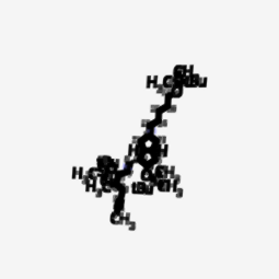 CC#CCC(C)C(/C=C/[C@@H]1[C@H]2C/C(=C/CCCCO[Si](C)(C)C(C)(C)C)C[C@H]2C[C@H]1O[Si](C)(C)C(C)(C)C)O[Si](C)(C)C(C)(C)C